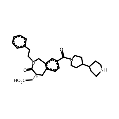 O=C(O)C[C@H]1Cc2ccc(C(=O)N3CCC(C4CCNCC4)CC3)cc2CN(CCc2ccccc2)C1=O